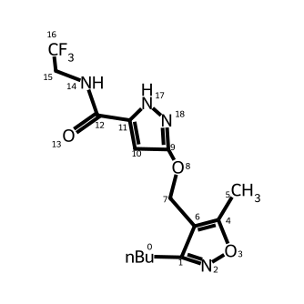 CCCCc1noc(C)c1COc1cc(C(=O)NCC(F)(F)F)[nH]n1